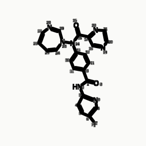 O=C(Nc1ccc(F)cn1)c1ccc(N(C(=O)c2cnccn2)N2C=CC=CN=C2)cc1